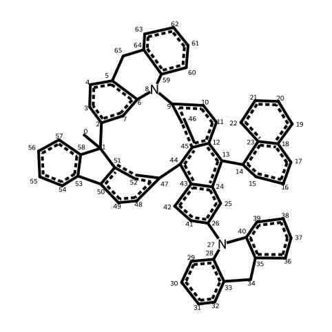 CC12c3ccc4c(c3)N(c3ccc5c(-c6cccc7ccccc67)c6cc(N7c8ccccc8Cc8ccccc87)ccc6c(c5c3)-c3ccc(c1c3)-c1ccccc12)c1ccccc1C4